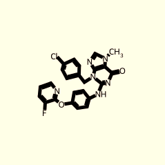 Cn1cnc2c1c(=O)nc(Nc1ccc(Oc3ncccc3F)cc1)n2Cc1ccc(Cl)cc1